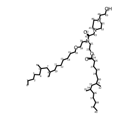 CCCCCC(C)CC(C)CCCCCCCOCCN(CCOC(=O)CCCCCC(C)CC(C)CCCCC)C(=O)CN1CCN(CCO)CC1